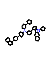 c1ccc(-c2cccc(N(c3ccc(-c4ccc(-c5cccc6ccccc56)cc4)cc3)c3cccc(-c4cccc5c4c4cc6ccccc6cc4n5-c4ccccc4)c3)c2)cc1